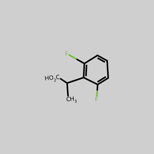 CC(C(=O)O)c1c(F)cccc1F